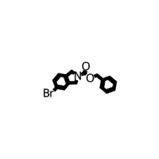 O=C(OCc1ccccc1)N1Cc2ccc(Br)cc2C1